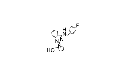 OCC1CCCN1c1nc(NCc2ccc(F)cc2)c2ccccc2n1